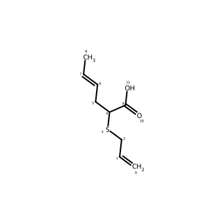 C=CCSC(CC=CC)C(=O)O